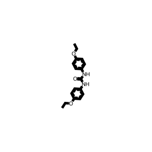 CCOc1ccc(NC(=O)Nc2ccc(OCC)cc2)cc1